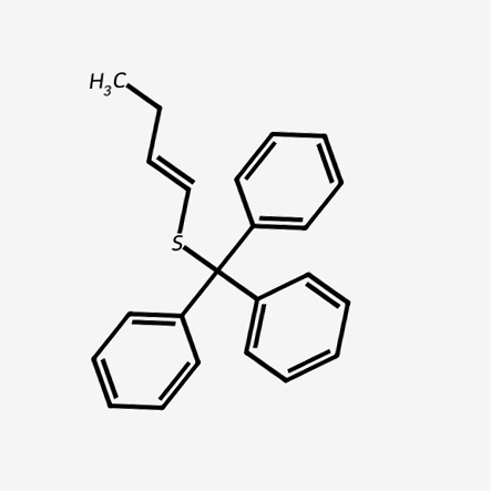 CCC=CSC(c1ccccc1)(c1ccccc1)c1ccccc1